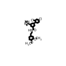 COc1ccc(CCNC(=O)c2cc(-c3ccc(Cl)cc3Cl)cc(-n3cnnn3)c2)cc1OC